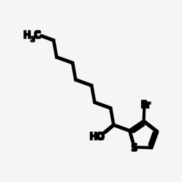 CCCCCCCCC(O)c1sccc1Br